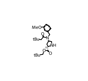 COc1cccc(CN(C(=O)CC(C)(C)C)[C@@H]2CN[C@H](C(=O)OCC(C)(C)C)C2)c1